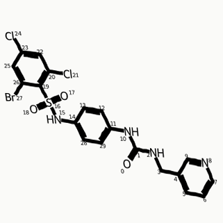 O=C(NCc1cccnc1)Nc1ccc(NS(=O)(=O)c2c(Cl)cc(Cl)cc2Br)cc1